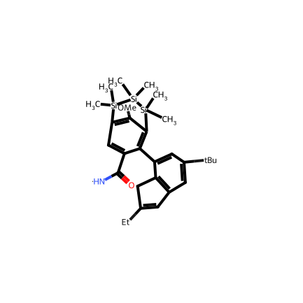 CCC1=Cc2cc(C(C)(C)C)cc(-c3c(C([NH])=O)cc4c(OC)c3[Si](C)(C)[Si](C)(C)[Si]4(C)C)c2C1